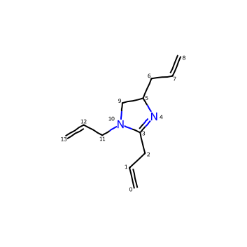 C=CCC1=NC(CC=C)CN1CC=C